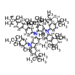 Cc1cc(C(C)(C)C)ccc1-n1c2ccc(C(C)(C)C)cc2c2cc3c(cc21)N(c1ccc2c(c1)C(C)(C)c1cc(C(C)(C)C)ccc1-2)c1cc(C(C)(C)C)cc2c1BC3c1cc3c(cc1N2c1ccc2c(c1)C(C)(C)CCC2(C)C)C(C)(C)CCC3(C)C